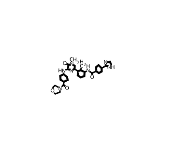 Cc1c(NC(=O)c2ccc(-c3ncc[nH]3)cc2)cccc1-c1cn(C)c(=O)c(Nc2ccc(C(=O)N3CCOCC3)cc2)n1